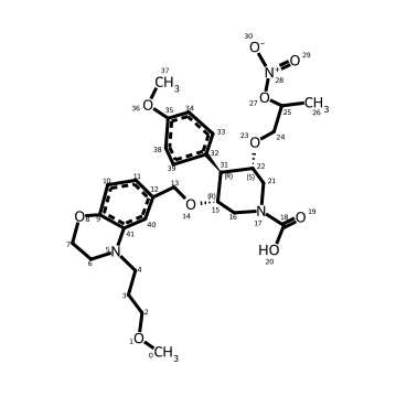 COCCCN1CCOc2ccc(CO[C@H]3CN(C(=O)O)C[C@@H](OCC(C)O[N+](=O)[O-])[C@@H]3c3ccc(OC)cc3)cc21